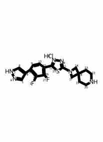 Cl.Fc1c(-c2cn[nH]c2)ccc(-c2nnc(N3CC4(CCNCC4)C3)s2)c1F